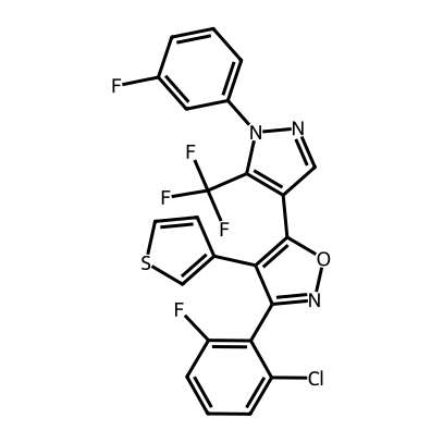 Fc1cccc(-n2ncc(-c3onc(-c4c(F)cccc4Cl)c3-c3ccsc3)c2C(F)(F)F)c1